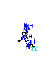 Cc1c(N(CCC2CC2)C2CCC(Nc3ncnc4sc(CC(F)(F)F)cc34)CC2)ccc2c1cc(C#N)n2Cc1cn[nH]c1